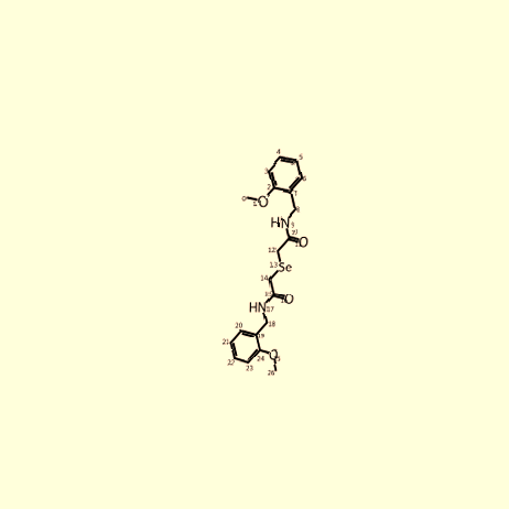 COc1ccccc1CNC(=O)C[Se]CC(=O)NCc1ccccc1OC